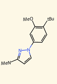 CNc1ccn(-c2ccc(C(C)(C)C)c(OC)c2)n1